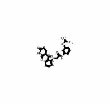 CC(C)Oc1cccc(NC(=O)Cn2nc(C3CCC(=O)NC3=O)c3ccccc32)c1